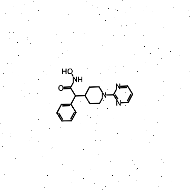 O=C(NO)C(c1ccccc1)C1CCN(c2ncccn2)CC1